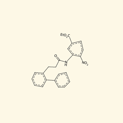 CCOC(=O)c1ccc([N+](=O)[O-])c(NC(=O)CCc2ccccc2-c2ccccc2)c1